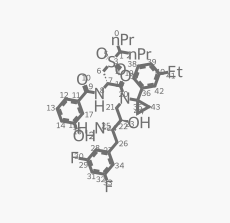 CCCC(CCC)S(=O)(=O)C[C@@H](NC(=O)c1cccc(O)c1)C(=O)N(C[C@@H](O)[C@@H](N)Cc1cc(F)cc(F)c1)C1(c2cccc(CC)c2)CC1